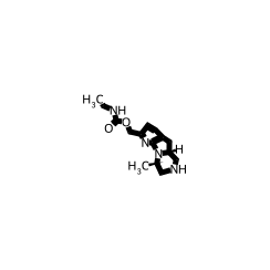 CCNC(=O)OCc1ccc2c(n1)N1[C@@H](CNC[C@H]1C)C2